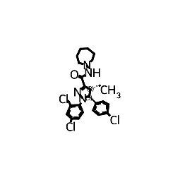 CC[C@H]1C(C(=O)NN2CCCCCC2)=NN(c2ccc(Cl)cc2Cl)[C@@H]1c1ccc(Cl)cc1